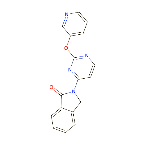 O=C1c2ccccc2CN1c1ccnc(Oc2cccnc2)n1